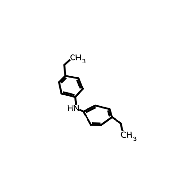 CCc1ccc(Nc2ccc(CC)cc2)cc1